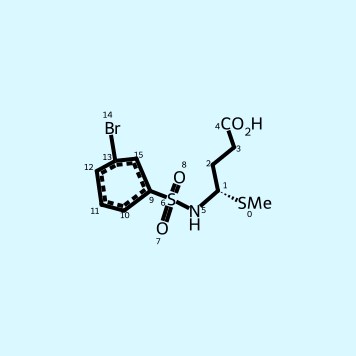 CS[C@@H](CCC(=O)O)NS(=O)(=O)c1cccc(Br)c1